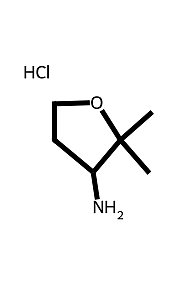 CC1(C)OCCC1N.Cl